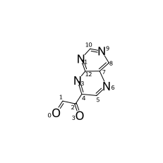 O=CC(=O)c1cnc2cncnc2n1